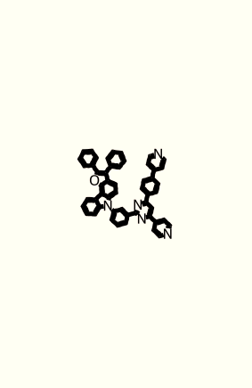 c1ccc(-c2oc3c(ccc4c3c3ccccc3n4-c3cccc(-c4nc(-c5ccncc5)cc(-c5ccc(-c6ccncc6)cc5)n4)c3)c2-c2ccccc2)cc1